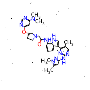 Cc1cnc(Nc2cc(C)n(C)n2)nc1-c1c[nH]c2c(NC(=O)CN3CC[C@H](Oc4cc(N(C)C)ncn4)C3)cccc12